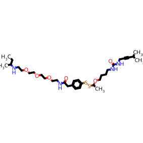 CCC(C)NCCOCCOCCOCCNC(=O)Cc1ccc(SSC(C)OCCCCNC(=O)NCC#CC(C)C)cc1